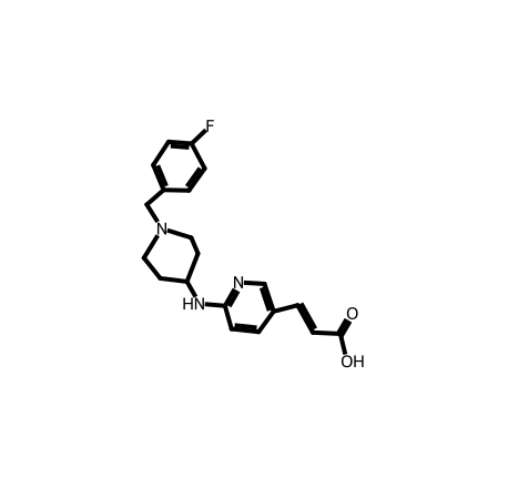 O=C(O)/C=C/c1ccc(NC2CCN(Cc3ccc(F)cc3)CC2)nc1